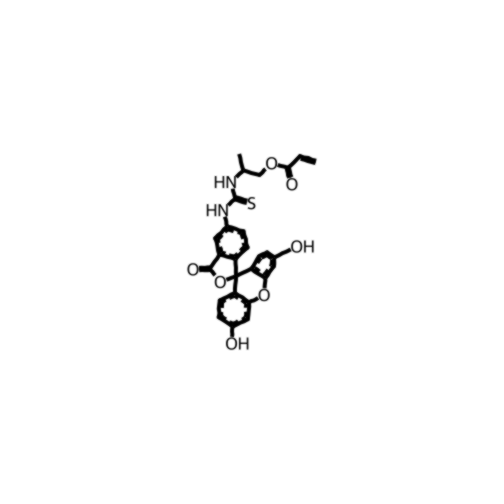 C=CC(=O)OCC(C)NC(=S)Nc1ccc2c(c1)C(=O)OC21c2ccc(O)cc2Oc2cc(O)ccc21